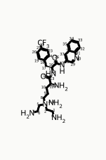 NCC[N+](N)(CCN)CCC[C@H](N)C(=O)N[C@@H](Cc1ccc(C(F)(F)F)cc1)C(=O)Nc1cnc2ccccc2c1